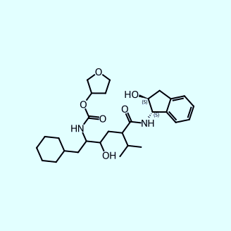 CC(C)C(CC(O)C(CC1CCCCC1)NC(=O)OC1CCOC1)C(=O)N[C@H]1c2ccccc2C[C@@H]1O